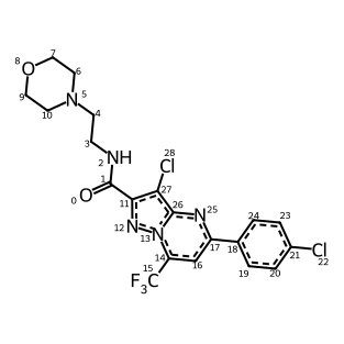 O=C(NCCN1CCOCC1)c1nn2c(C(F)(F)F)cc(-c3ccc(Cl)cc3)nc2c1Cl